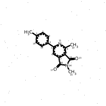 Cc1ccc(-c2cc3c(c(C)n2)C(=O)N(C)C3=O)cc1